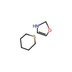 C1=COCN1.C1CCSCC1